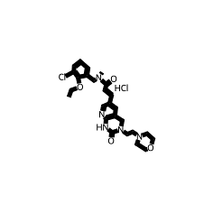 CCOc1c(Cl)cccc1CN(C)C(=O)/C=C/c1cnc2c(c1)CN(CCN1CCOCC1)C(=O)N2.Cl